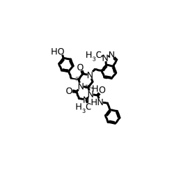 CN1CC(=O)N2[C@@H](CN(Cc3cccc4cnn(C)c34)C(=O)[C@@H]2Cc2ccc(O)cc2)N1C(=O)NCc1ccccc1